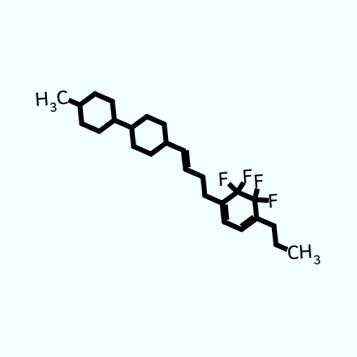 CCCC1=CC=C(CC/C=C/C2CCC(C3CCC(C)CC3)CC2)C(F)(F)C1(F)F